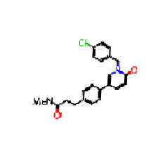 CNC(=O)CCc1ccc(-c2ccc(=O)n(Cc3ccc(Cl)cc3)c2)cc1